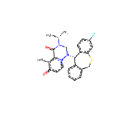 CC(=O)Oc1c2n(ccc1=O)N([C@H]1c3ccccc3CSc3cc(F)ccc31)CN([C@H](C)C(F)(F)F)C2=O